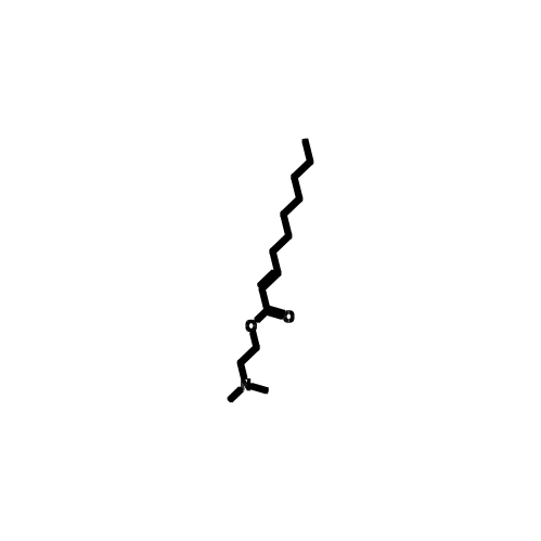 CCCCCCCC=CC(=O)OCCN(C)C